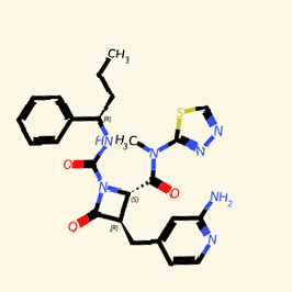 CCC[C@@H](NC(=O)N1C(=O)[C@H](Cc2ccnc(N)c2)[C@H]1C(=O)N(C)c1nncs1)c1ccccc1